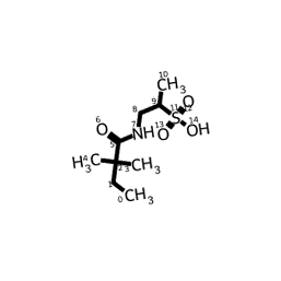 CCC(C)(C)C(=O)NCC(C)S(=O)(=O)O